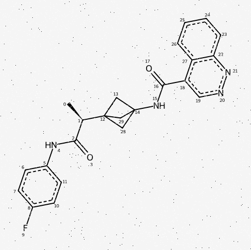 C[C@H](C(=O)Nc1ccc(F)cc1)C12CC(NC(=O)c3cnnc4ccccc34)(C1)C2